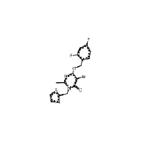 Cc1nc(OCc2ccc(F)cc2F)c(Br)c(=O)n1Cc1cccs1